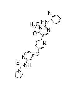 Cn1c(Nc2ccccc2F)ncc(-c2ccc(Oc3ccnc(NC(=S)N4CCCC4)c3)cn2)c1=O